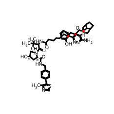 Cc1ncsc1-c1ccc(CNC(=O)[C@@H]2C[C@@H](O)CN2C(=O)C(NC(=O)CCCCCCCCC(=O)NC2C3CCC2CN(c2cc(-c4ccccc4O)nnc2N)C3)C(C)(C)C)cc1